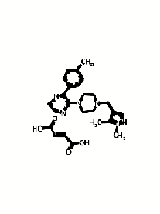 Cc1ccc(-c2nccnc2N2CCN(Cc3cnn(C)c3C)CC2)cc1.O=C(O)C=CC(=O)O